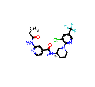 CCC(=O)Nc1cc(C(=O)N[C@@H]2CCCN(c3ncc(C(F)(F)F)cc3Cl)C2)ccn1